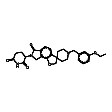 CCOc1cccc(CN2CCC3(CC2)COc2c3ccc3c2CN(C2CCC(=O)NC2=O)C3=O)c1